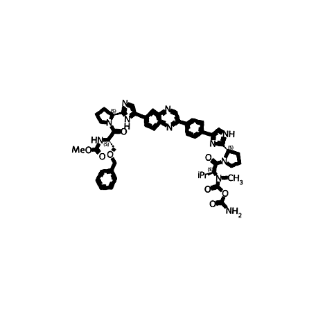 COC(=O)N[C@@H](COCc1ccccc1)C(=O)N1CCC[C@H]1c1ncc(-c2ccc3nc(-c4ccc(-c5c[nH]c([C@@H]6CCCN6C(=O)[C@H](C(C)C)N(C)C(=O)OC(N)=O)n5)cc4)cnc3c2)[nH]1